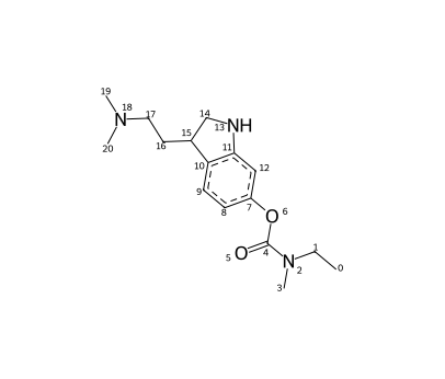 CCN(C)C(=O)Oc1ccc2c(c1)NCC2CCN(C)C